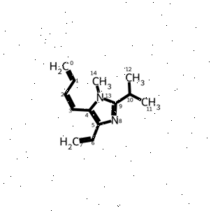 C=C/C=C\c1c(C=C)nc(C(C)C)n1C